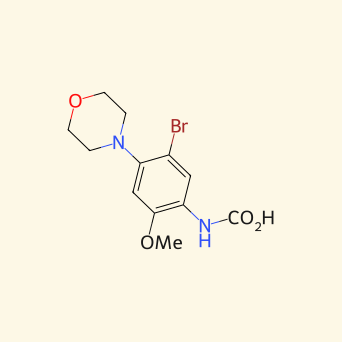 COc1cc(N2CCOCC2)c(Br)cc1NC(=O)O